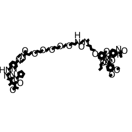 CCCOc1cc(OCCCCN(C)CC(=O)NCCOCCOCCOCCOCCOCCC(=O)N2CCN(c3ccc(Nc4ncc5c(C)c(C(C)=O)c(=O)n(C6CCCC6)c5n4)nc3)CC2)cc(Oc2cc3c(cc2NS(=O)(=O)c2ccc(OC)c(OC)c2)n(C)c(=O)n3C)c1